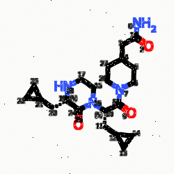 NC(=O)CC1CCN(C(=O)[C@H](CC2CC2)N2CCN[C@@H](CC3CC3)C2=O)CC1